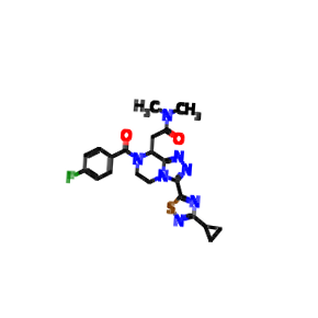 CN(C)C(=O)CC1c2nnc(-c3nc(C4CC4)ns3)n2CCN1C(=O)c1ccc(F)cc1